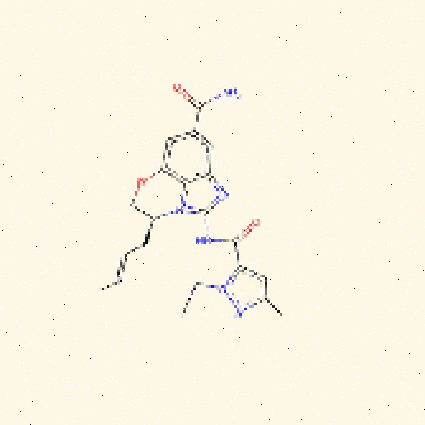 C/C=C/C[C@H]1COc2cc(C(N)=O)cc3nc(NC(=O)c4cc(C)nn4CC)n1c23